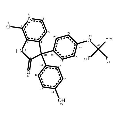 O=C1Nc2c(ccnc2Cl)C1(c1ccc(O)cc1)c1ccc(OC(F)(F)F)cc1